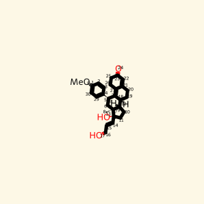 COc1ccc([C@H]2C[C@@]3(C)[C@@H](CC[C@@]3(O)C=CCO)[C@@H]3CCC4=CC(=O)CCC4=C32)cc1